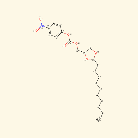 CCCCCCCCCCC1OCC(COC(=O)Oc2ccc([N+](=O)[O-])cc2)O1